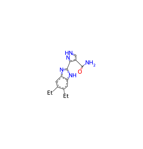 CCc1cc2nc(-c3n[nH]cc3C(N)=O)[nH]c2cc1CC